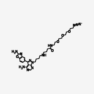 [N-]=[N+]=NCCOCCOCCOCCNC(=O)CCCNCCCCn1nc(-c2ccc3oc(N)nc3c2)c2c(N)ncnc21